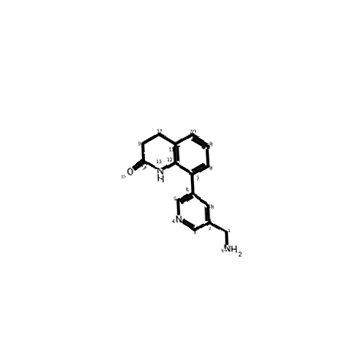 NCc1cncc(-c2cccc3c2NC(=O)CC3)c1